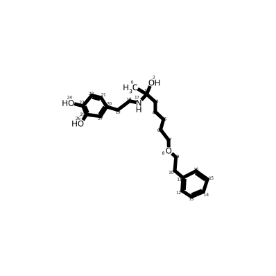 CC(O)(CCCCCOCCc1ccccc1)NCCc1ccc(O)c(O)c1